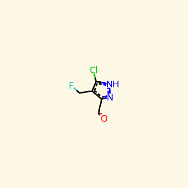 O=Cc1n[nH]c(Cl)c1CF